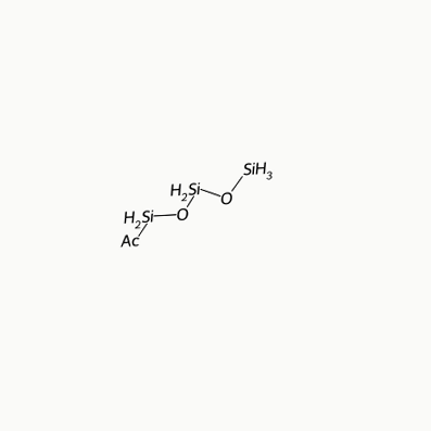 CC(=O)[SiH2]O[SiH2]O[SiH3]